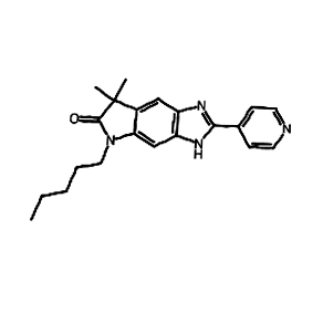 CCCCCN1C(=O)C(C)(C)c2cc3nc(-c4ccncc4)[nH]c3cc21